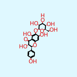 O=C1c2c(cc(O)c(O[C@@H]3O[C@H](CO)[C@@H](O)[C@H](O)[C@H]3O)c2O)O[C@@H](c2ccc(O)cc2)[C@@H]1O